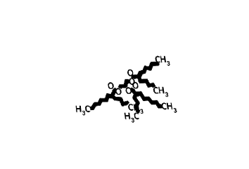 CCCCCC/C=C(\CCCCC)C(=O)OCC(COC(=O)/C(=C/CCCCCC)CCCCC)OC(=O)/C(=C/CCCCCC)CCCCC